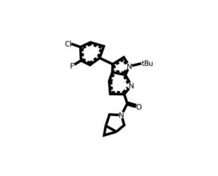 CC(C)(C)n1cc(-c2ccc(Cl)c(F)c2)c2ccc(C(=O)N3CC4CC4C3)nc21